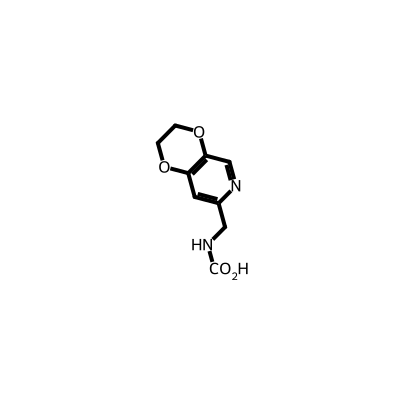 O=C(O)NCc1cc2c(cn1)OCCO2